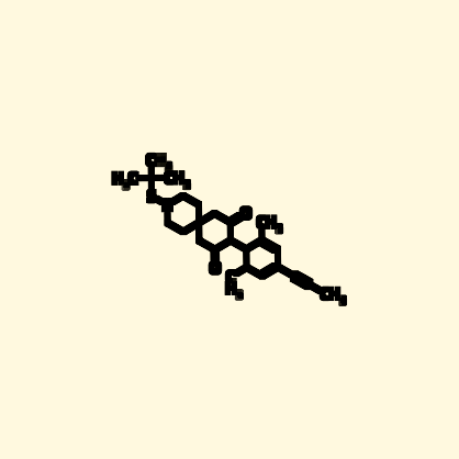 CC#CC1=CC(C)C(C2C(=O)CC3(CCN(SC(C)(C)C)CC3)CC2=O)C(C)=C1